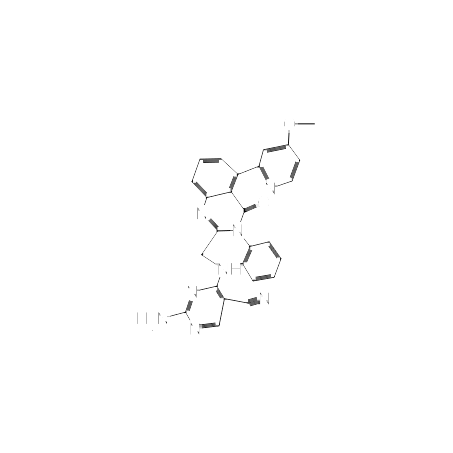 COc1ccnc(-c2cccc3nc([C@@H](C)Nc4nc(N)ncc4C#N)n(-c4ccccc4)c(=O)c23)c1